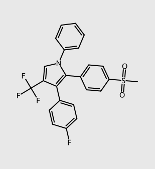 CS(=O)(=O)c1ccc(-c2c(-c3ccc(F)cc3)c(C(F)(F)F)cn2-c2ccccc2)cc1